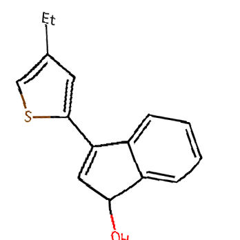 CCc1csc(C2=CC(O)c3ccccc32)c1